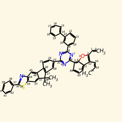 C=Cc1oc2c(-c3nc(-c4cccc(-c5ccccc5)c4)nc(-c4ccc5c(c4)C(C)(C)c4cc6sc(-c7ccccc7)nc6cc4-5)n3)cccc2c1/C=C\C